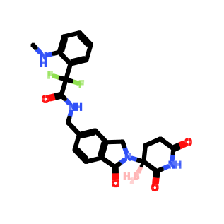 B[C@@]1(N2Cc3cc(CNC(=O)C(F)(F)c4ccccc4NC)ccc3C2=O)CCC(=O)NC1=O